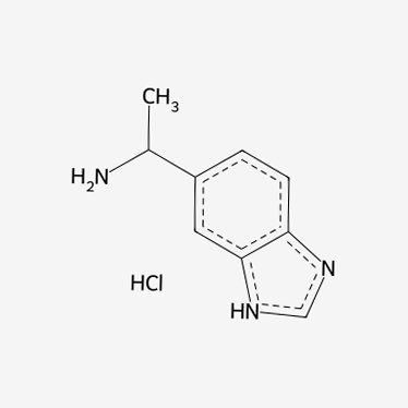 CC(N)c1ccc2nc[nH]c2c1.Cl